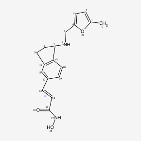 Cc1ccc(CNC2CCc3cc(/C=C/C(=O)NO)ccc32)o1